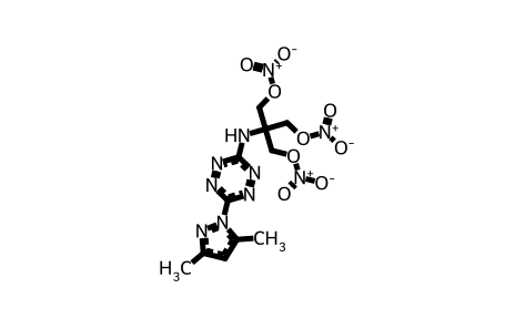 Cc1cc(C)n(-c2nnc(NC(CO[N+](=O)[O-])(CO[N+](=O)[O-])CO[N+](=O)[O-])nn2)n1